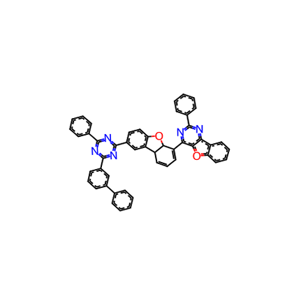 C1=CC2c3cc(-c4nc(-c5ccccc5)nc(-c5cccc(-c6ccccc6)c5)n4)ccc3OC2C(c2nc(-c3ccccc3)nc3c2oc2ccccc23)=C1